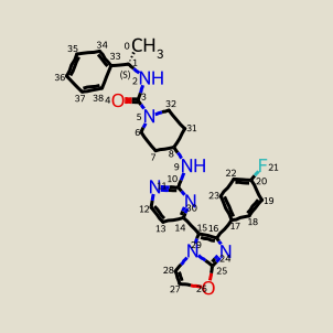 C[C@H](NC(=O)N1CCC(Nc2nccc(-c3c(-c4ccc(F)cc4)nc4occn34)n2)CC1)c1ccccc1